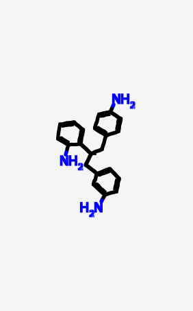 Nc1ccc(C[C](Cc2cccc(N)c2)c2ccccc2N)cc1